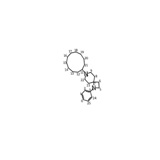 c1ccc(N2CCC23CCN(C2CCCCCCCCCC2)CC3)cc1